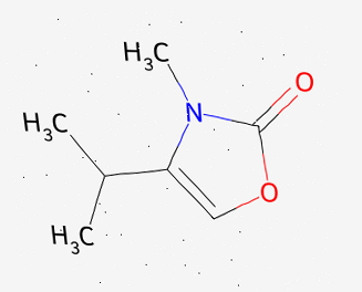 CC(C)c1coc(=O)n1C